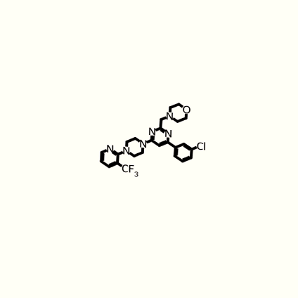 FC(F)(F)c1cccnc1N1CCN(c2cc(-c3cccc(Cl)c3)nc(CN3CCOCC3)n2)CC1